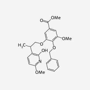 COC(=O)c1cc(OC)c(OCc2ccccc2)c(OCC(C)c2ccc(OC)nc2O)c1